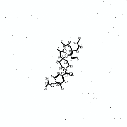 C=C/C(OC1(CC(C)OC(C)C)CCN(C(=O)c2ccc(OC(C)C)c(C)c2)CC1)=C(C)\C=N/CC